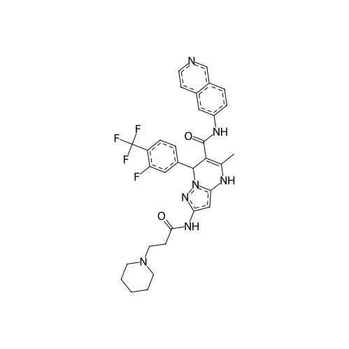 CC1=C(C(=O)Nc2ccc3cnccc3c2)C(c2ccc(C(F)(F)F)c(F)c2)n2nc(NC(=O)CCN3CCCCC3)cc2N1